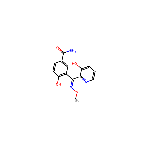 CC(C)(C)O/N=C(/c1cc(C(N)=O)ccc1O)c1ncccc1O